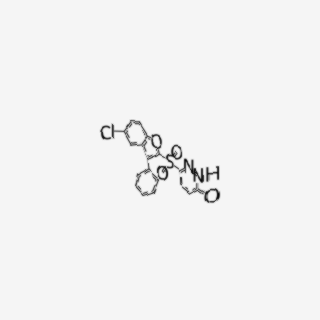 O=c1ccc(S(=O)(=O)c2oc3ccc(Cl)cc3c2-c2ccccc2)n[nH]1